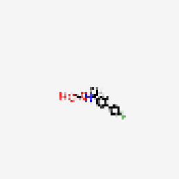 CC(=NOCCO)c1ccc(-c2ccc(F)cc2)cc1